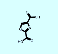 O=C(O)c1coc(C(=O)O)n1